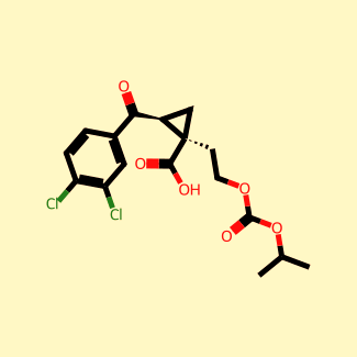 CC(C)OC(=O)OCC[C@@]1(C(=O)O)C[C@@H]1C(=O)c1ccc(Cl)c(Cl)c1